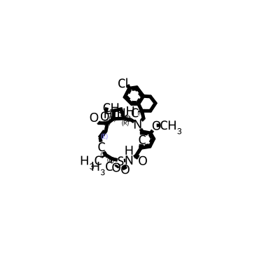 COc1ccc2cc1N(C[C@]1(C)CCCc3cc(Cl)ccc31)C[C@@H]1CC[C@H]1[C@@](C=O)(OC)/C=C/C[C@H](C)[C@@H](C)S(=O)(=O)NC2=O